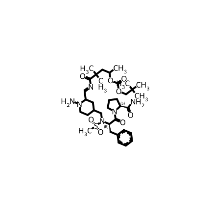 CC(CC(C)(C)C(=O)N=CC1CC(CN([C@H](Cc2ccccc2)C(=O)N2CCC[C@H]2C(N)=O)S(C)(=O)=O)CCN1N)OC(=O)OCC(C)(C)C